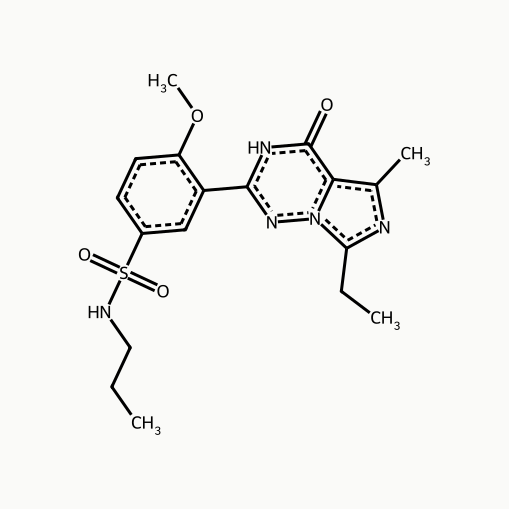 CCCNS(=O)(=O)c1ccc(OC)c(-c2nn3c(CC)nc(C)c3c(=O)[nH]2)c1